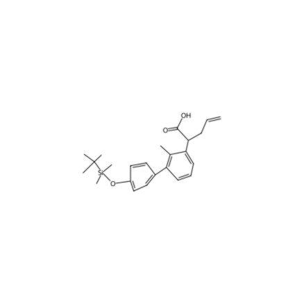 C=CCC(C(=O)O)c1cccc(-c2ccc(O[Si](C)(C)C(C)(C)C)cc2)c1C